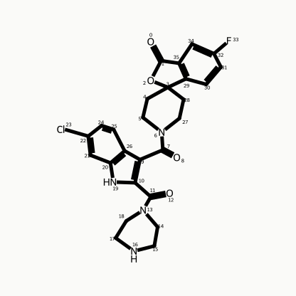 O=C1OC2(CCN(C(=O)c3c(C(=O)N4CCNCC4)[nH]c4cc(Cl)ccc34)CC2)c2ccc(F)cc21